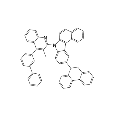 Cc1c(-n2c3ccc(C4Cc5ccccc5-c5ccccc54)cc3c3c4ccccc4ccc32)nc2ccccc2c1-c1cccc(-c2ccccc2)c1